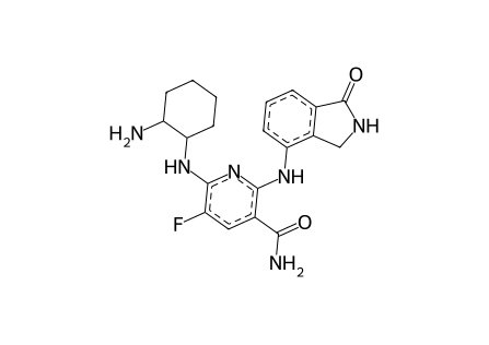 NC(=O)c1cc(F)c(NC2CCCCC2N)nc1Nc1cccc2c1CNC2=O